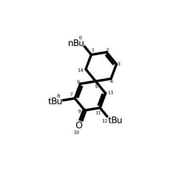 CCCCC1C=CCC2(C=C(C(C)(C)C)C(=O)C(C(C)(C)C)=C2)C1